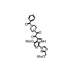 COCc1ncn(-c2ncc(OC)c3c(C(=O)C(=O)N4CCN(C(=O)c5ccccc5)CC4)c[nH]c23)n1